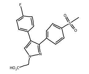 CS(=O)(=O)c1ccc(-c2nn(CC(=O)O)cc2-c2ccc(F)cc2)cc1